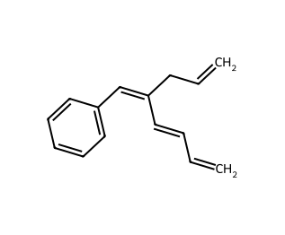 C=CC=CC(=Cc1ccccc1)CC=C